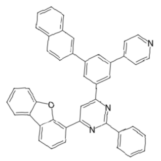 c1ccc(-c2nc(-c3cc(-c4ccncc4)cc(-c4ccc5ccccc5c4)c3)cc(-c3cccc4c3oc3ccccc34)n2)cc1